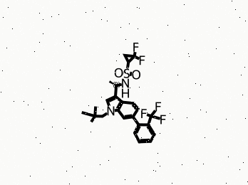 C[C@@H](NS(=O)(=O)C1CC1(F)F)c1cn(CC(C)(C)C)c2cc(-c3ccccc3C(F)(F)F)ccc12